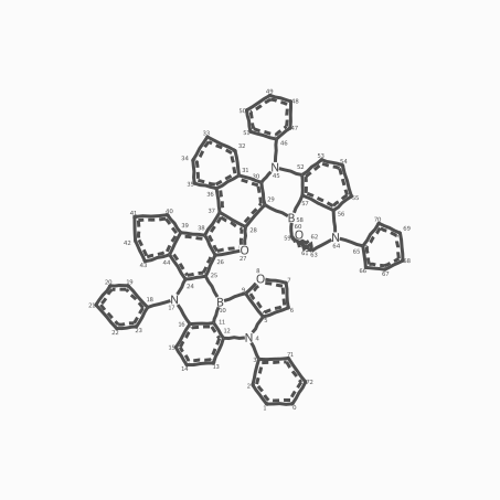 c1ccc(N2c3ccoc3B3c4c2cccc4N(c2ccccc2)c2c3c3oc4c5c(c6ccccc6c4c3c3ccccc23)N(c2ccccc2)c2cccc3c2B5c2occc2N3c2ccccc2)cc1